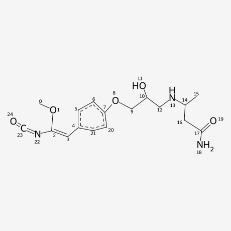 COC(=Cc1ccc(OCC(O)CNC(C)CC(N)=O)cc1)N=C=O